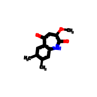 COc1cc(=O)c2cc(C)c(C)cc2[nH]c1=O